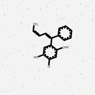 C/C=C\C=C(\c1ccccc1)c1cc(O)c(Cl)cc1C=O